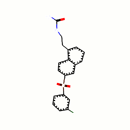 NC(=O)NCCc1cccc2cc(S(=O)(=O)c3cccc(F)c3)ccc12